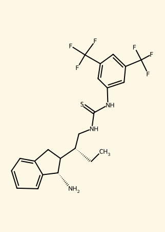 CC[C@@H](CNC(=S)Nc1cc(C(F)(F)F)cc(C(F)(F)F)c1)C1Cc2ccccc2[C@H]1N